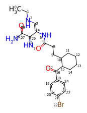 CCN/C=C(/NC(=O)CCC1CCCCC1C(=O)c1ccc(Br)cc1)C(=N)C(N)=O